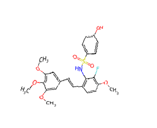 COc1ccc(C=Cc2cc(OC)c(OC)c(OC)c2)c(NS(=O)(=O)c2ccc(O)cc2)c1F